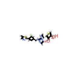 Cc1cnc(-c2ccc(CNc3nccn4c([C@@H]5SC[C@@H](O)[C@H]5O)cnc34)cc2F)s1